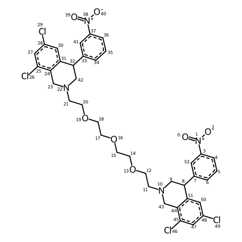 O=[N+]([O-])c1cccc(C2CN(CCOCCOCCOCCN3Cc4c(Cl)cc(Cl)cc4C(c4cccc([N+](=O)[O-])c4)C3)Cc3c(Cl)cc(Cl)cc32)c1